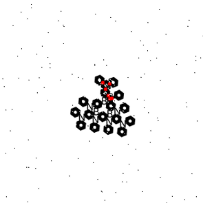 c1ccc(N(c2ccccc2)c2cc3c4c(c2)N(c2ccccc2)c2cc5c(cc2B4c2ccccc2N3c2ccccc2)B2c3cc4c(cc3N(c3ccccc3)c3cc(N(c6ccccc6)c6ccccc6)cc(c32)N5c2ccccc2)N(c2ccccc2)c2cc(N(c3ccccc3)c3ccccc3)cc3c2B4c2ccccc2N3c2ccccc2)cc1